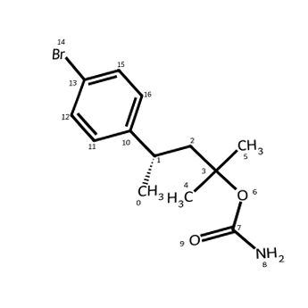 C[C@@H](CC(C)(C)OC(N)=O)c1ccc(Br)cc1